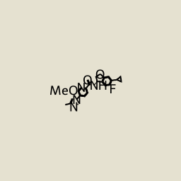 COc1nc(C(=O)N[C@H]2COc3cc(C4CC4)c(F)cc32)ccc1-n1cnc(C)c1